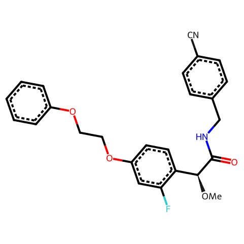 CO[C@H](C(=O)NCc1ccc(C#N)cc1)c1ccc(OCCOc2ccccc2)cc1F